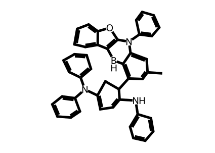 Cc1cc(C2CC(N(c3ccccc3)c3ccccc3)=CC=C2Nc2ccccc2)c2c(c1)N(c1ccccc1)c1oc3ccccc3c1B2